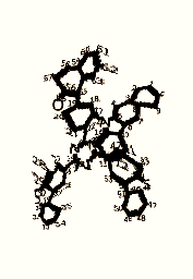 c1ccc2cc3c(cc2c1)c1ccccc1n3-c1cc2c(cc1-c1nc(-c3ccc4sc5ccccc5c4c3)nc(-c3ccc4sc5ccccc5c4c3)n1)oc1ccc3ccccc3c12